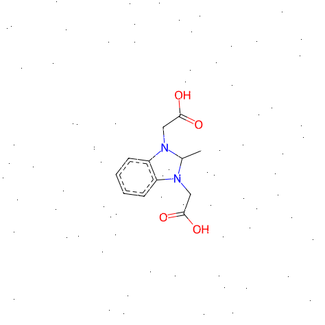 CC1N(CC(=O)O)c2ccccc2N1CC(=O)O